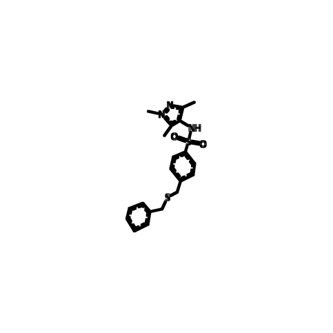 Cc1nn(C)c(C)c1NS(=O)(=O)c1ccc(CSCc2ccccc2)cc1